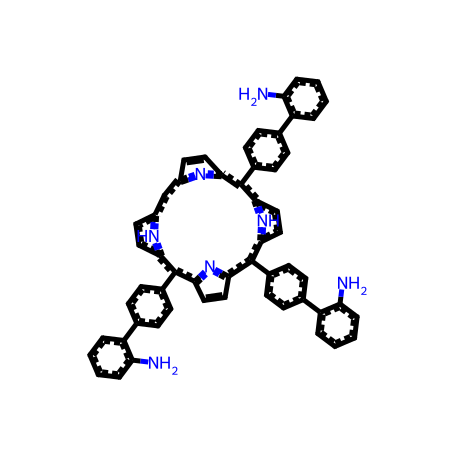 Nc1ccccc1-c1ccc(-c2c3nc(c(-c4ccc(-c5ccccc5N)cc4)c4ccc([nH]4)c(-c4ccc(-c5ccccc5N)cc4)c4nc(cc5ccc2[nH]5)C=C4)C=C3)cc1